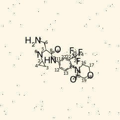 CN(C1CC1)[C@@H](CN)C(=O)Nc1ccc(N2CCOCC2=O)c(C(F)(F)F)c1